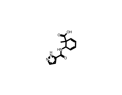 CC1(C(=O)O)C=CC=CC1NC(=O)c1ccn[nH]1